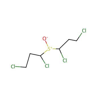 [O-][S+](C(Cl)CCCl)C(Cl)CCCl